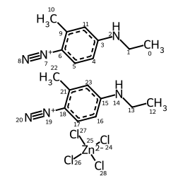 CCNc1ccc([N+]#N)c(C)c1.CCNc1ccc([N+]#N)c(C)c1.[Cl][Zn-2]([Cl])([Cl])[Cl]